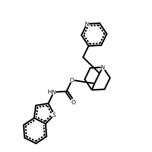 O=C(Nc1cc2ccccc2s1)OC1C2CCN(CC2)C1Cc1cccnc1